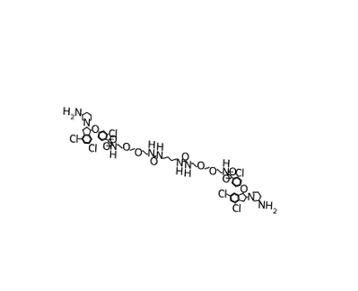 N[C@@H]1CCCN([C@H]2Cc3c(Cl)cc(Cl)cc3[C@@H]2Oc2ccc(S(=O)(=O)NCCOCCOCCNC(=O)NCCCCNC(=O)NCCOCCOCCNS(=O)(=O)c3ccc(O[C@H]4c5cc(Cl)cc(Cl)c5C[C@@H]4N4CCC[C@@H](N)C4)cc3Cl)c(Cl)c2)C1